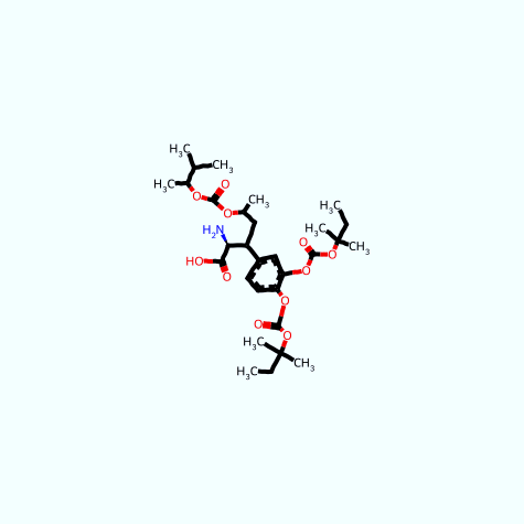 CCC(C)(C)OC(=O)Oc1ccc(C(CC(C)OC(=O)OC(C)C(C)C)[C@H](N)C(=O)O)cc1OC(=O)OC(C)(C)CC